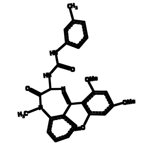 COc1cc(OC)c(C2=NC(NC(=O)Nc3cccc(C)c3)C(=O)N(C)c3ccccc32)c(OC)c1